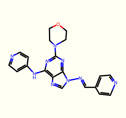 C(=N\n1cnc2c(Nc3ccncc3)nc(N3CCOCC3)nc21)/c1ccncc1